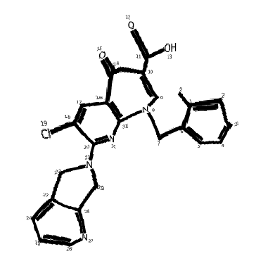 Cc1ccccc1Cn1cc(C(=O)O)c(=O)c2cc(Cl)c(N3Cc4cccnc4C3)nc21